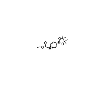 CCOC(=O)Nc1ccc(B2OC(C)(C)C(C)(C)O2)cc1